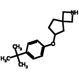 CC(C)(C)c1ccc(OC2CCC3(CNC3)C2)cc1